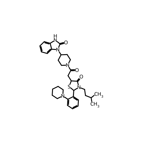 CC(C)CCN1C(=O)C(CC(=O)N2CCC(n3c(=O)[nH]c4ccccc43)CC2)SC1c1ccccc1N1CCCCC1